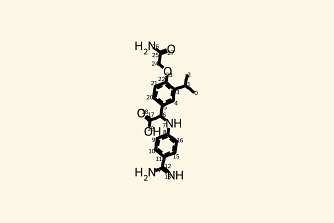 CC(C)c1cc(C(Nc2ccc(C(=N)N)cc2)C(=O)O)ccc1OCC(N)=O